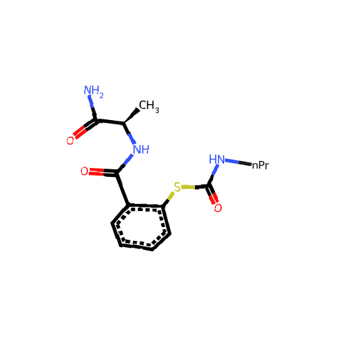 CCCNC(=O)Sc1ccccc1C(=O)N[C@H](C)C(N)=O